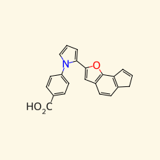 O=C(O)c1ccc(-n2cccc2-c2cc3ccc4c(c3o2)C=CC4)cc1